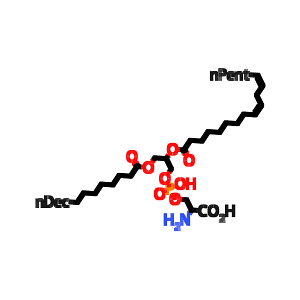 CCCCC/C=C\C/C=C\CCCCCCCC(=O)OC(COC(=O)CCCCCCCCCCCCCCCCC)COP(=O)(O)OCC(N)C(=O)O